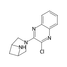 Clc1nc2ccccc2nc1N1CC2CC(C1)N2